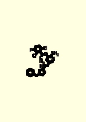 CC(Oc1cc(CNC2CCN(Cc3ccccc3)C2)cnc1N)c1c(Cl)ccc(F)c1Cl